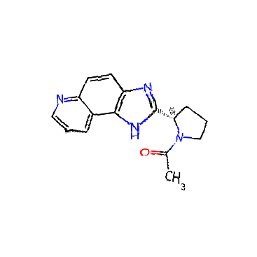 CC(=O)N1CCC[C@H]1c1nc2ccc3ncccc3c2[nH]1